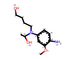 COc1cc(N(CCCCO)C(C)O)ccc1N